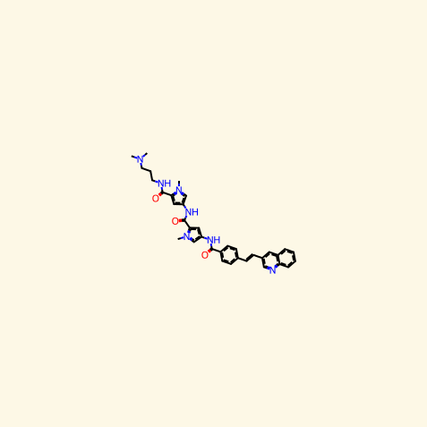 CN(C)CCCNC(=O)c1cc(NC(=O)c2cc(NC(=O)c3ccc(/C=C/c4cnc5ccccc5c4)cc3)cn2C)cn1C